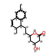 Cc1ccc2c(c1)C=CC(C)C2CCC1CC(O)CC(=O)O1